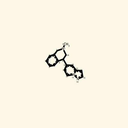 CN1Cc2ccccc2C(c2ccn3nccc3c2)C1